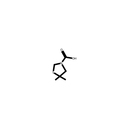 CC1(C)CN(C(=O)O)CS1